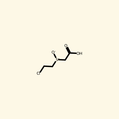 O=C(O)C[S+]([O-])CCCl